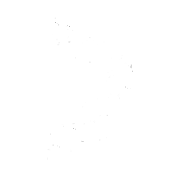 Cc1cc(-c2cnc3[nH]cc(-c4ccc(-c5ccn[nH]5)cc4)c3c2)cc(C)c1N1CCN(C)CC1